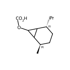 CC(C)[C@@H]1CC[C@@H](C)C2C(OC(=O)O)C21